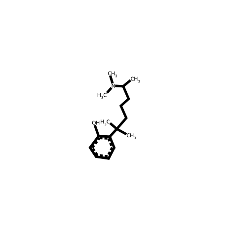 CC(CCCC(C)(C)c1ccccc1O)N(C)C